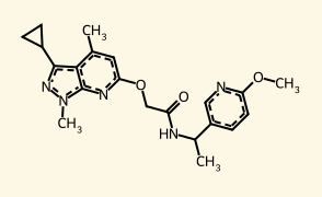 COc1ccc(C(C)NC(=O)COc2cc(C)c3c(C4CC4)nn(C)c3n2)cn1